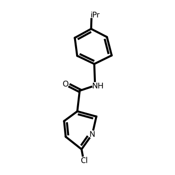 CC(C)c1ccc(NC(=O)c2ccc(Cl)nc2)cc1